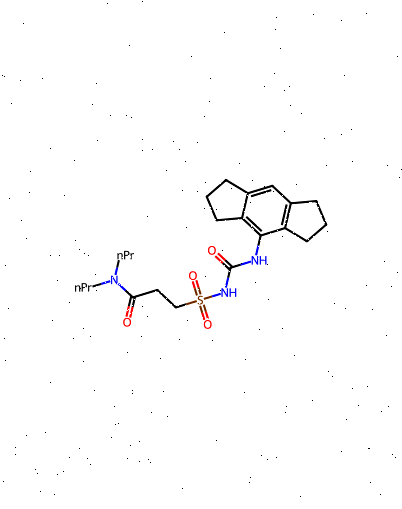 CCCN(CCC)C(=O)CCS(=O)(=O)NC(=O)Nc1c2c(cc3c1CCC3)CCC2